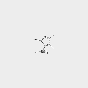 C[SiH2]C1=C(C)C(C)=CC1C